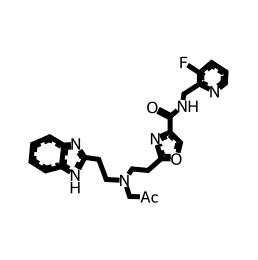 CC(=O)CN(CCc1nc2ccccc2[nH]1)CCc1nc(C(=O)NCc2ncccc2F)co1